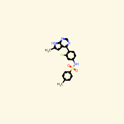 Cc1ccc(S(=O)(=O)Nc2ccc(-c3ncnc4[nH]c(C)cc34)c(F)c2)cc1